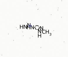 Cc1nc2ccc(N/C=N\C=N)cc2[nH]1